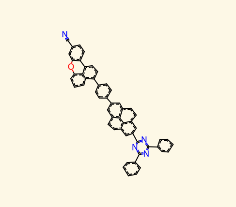 N#Cc1ccc2c(c1)Oc1cccc3c(-c4ccc(-c5cc6ccc7cc(-c8nc(-c9ccccc9)nc(-c9ccccc9)n8)cc8ccc(c5)c6c78)cc4)ccc-2c13